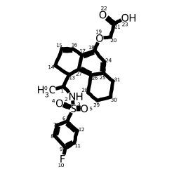 CC(NS(=O)(=O)c1ccc(F)cc1)C1CC=Cc2c(OCC(=O)O)cc3c(c21)CCCC3